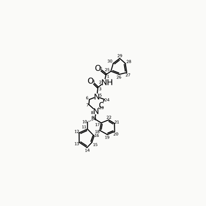 O=C(NC(=O)N1CCN([C@@H](Cc2ccccc2)c2ccccc2)CC1)c1ccccc1